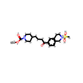 CC(C)(C)OC(=O)N1CCC(CCCC(=O)c2ccc3c(c2)CCN(S(C)(=O)=O)C3)CC1